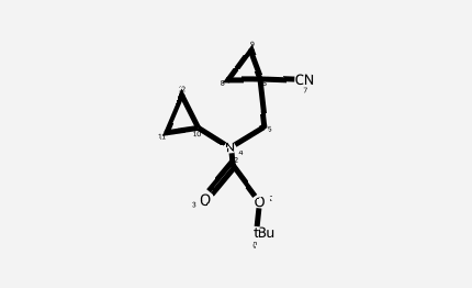 CC(C)(C)OC(=O)N(CC1(C#N)CC1)C1CC1